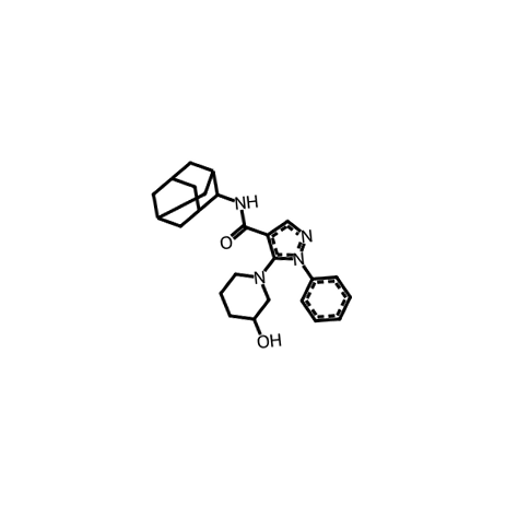 O=C(NC1C2CC3CC(C2)CC1C3)c1cnn(-c2ccccc2)c1N1CCCC(O)C1